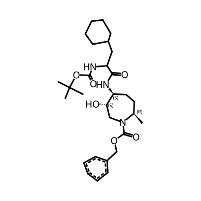 C[C@@H]1CC[C@H](NC(=O)C(CC2CCCCC2)NC(=O)OC(C)(C)C)[C@@H](O)CN1C(=O)OCc1ccccc1